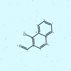 O=Cc1cnc2ccccc2c1Cl